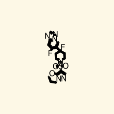 O=S(=O)(c1cnn2c1OCCC2)N1CCC(F)(c2cn3ncnc3cc2F)CC1